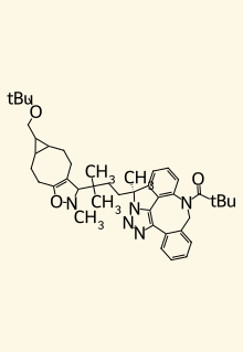 CN1OC2=C(CCC3C(CC2)C3COC(C)(C)C)C1C(C)(C)CC[C@@]1(C)c2cccc3c2-c2c(nnn21)-c1ccccc1CN3C(=O)C(C)(C)C